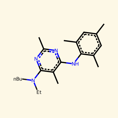 CCCCN(CC)c1nc(C)nc(Nc2c(C)cc(C)cc2C)c1C